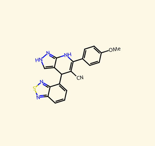 COc1ccc(C2=C(C#N)C(c3cccc4nsnc34)c3c[nH]nc3N2)cc1